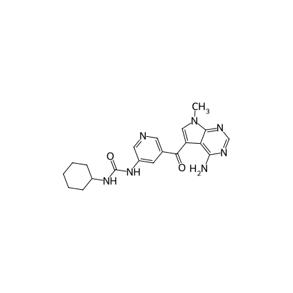 Cn1cc(C(=O)c2cncc(NC(=O)NC3CCCCC3)c2)c2c(N)ncnc21